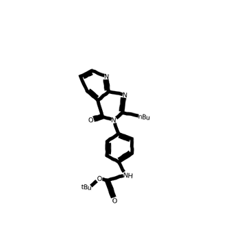 CCCCc1nc2ncccc2c(=O)n1-c1ccc(NC(=O)OC(C)(C)C)cc1